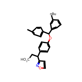 CCCCc1cccc([C@@H](Oc2ccc(C(CC(=O)O)c3ccon3)cc2)c2ccc(C)cc2)c1